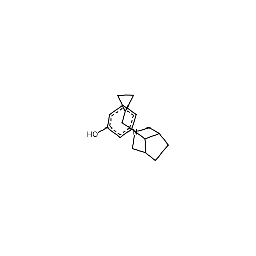 Oc1cccc(C2C3CCC2CN(CC2CC2)C3)c1